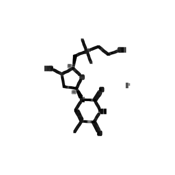 Cc1cn([C@H]2CC(O)[C@@H](C[N+](C)(C)CCO)O2)c(=O)[nH]c1=O.[I-]